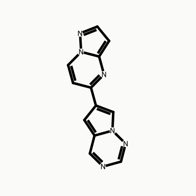 c1ncc2cc(-c3ccn4nccc4n3)cn2n1